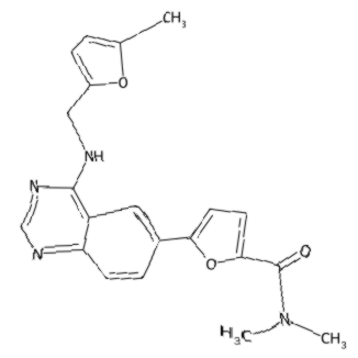 Cc1ccc(CNc2ncnc3ccc(-c4ccc(C(=O)N(C)C)o4)cc23)o1